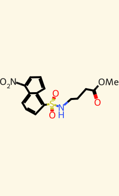 COC(=O)CCCNS(=O)(=O)c1cccc2c([N+](=O)[O-])cccc12